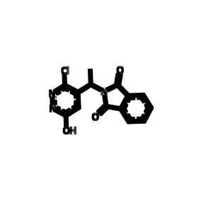 CC(c1cc(O)nnc1Cl)N1C(=O)c2ccccc2C1=O